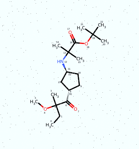 CCC(C)(OC)C(=O)[C@H]1CC[C@H](NC(C)(C)C(=O)OC(C)(C)C)C1